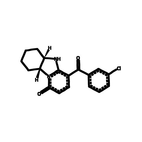 O=C(c1cccc(Cl)c1)c1ccc(=O)n2c1N[C@@H]1CCCC[C@H]12